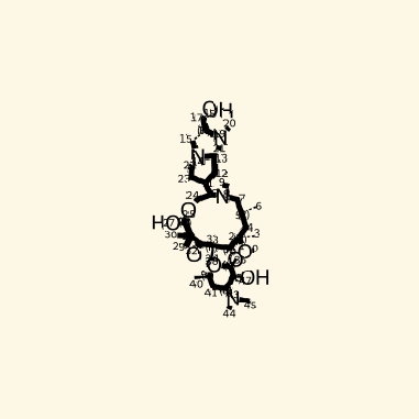 CO[C@]1(C)C[C@@H](C)CN(C)C(C2CCN(C[C@H](CO)N(C)C)CC2)CO[C@@H](O)C(C)(C)C(=O)[C@H](C)[C@H]1O[C@@H]1O[C@H](C)C[C@H](N(C)C)[C@H]1O